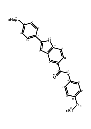 CCCCCCCc1ccc(-c2cc3cc(C(=O)Oc4ccc(OCCCC)cc4)ccc3o2)cc1